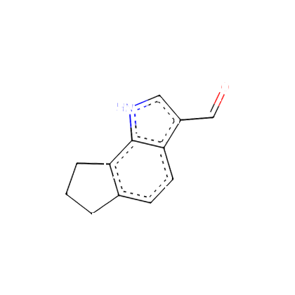 O=Cc1c[nH]c2c3c(ccc12)CCC3